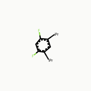 CC(C)c1cc(C(C)C)c(F)cc1F